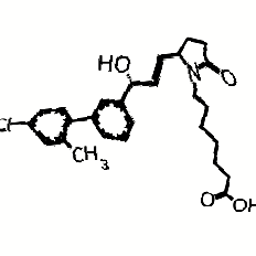 Cc1cc(Cl)ccc1-c1cccc([C@H](O)/C=C/C2CCC(=O)N2CCCCCCC(=O)O)c1